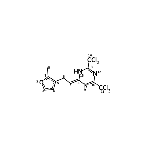 Cc1occc1CC=C1N=C(C(Cl)(Cl)Cl)N=C(C(Cl)(Cl)Cl)N1